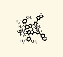 Cc1cc(C)cc(-c2c(C)c(C)cc3c2C=C(c2cc(-c4ccc5occc5c4)co2)[CH]3[Zr+2]([CH]2C(c3cc(-c4ccc5occc5c4)co3)=Cc3c2cc(C)c(C)c3-c2cc(C)cc(C)c2)=[Si](C)C)c1.[Cl-].[Cl-]